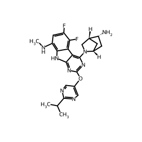 CNc1cc(F)c(F)c2c1[nH]c1nc(Oc3cnc(C(C)C)nc3)nc(N3C[C@H]4C[C@@H]3C[C@H]4N)c12